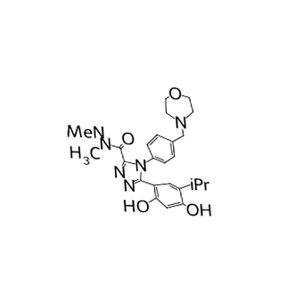 CNN(C)C(=O)c1nnc(-c2cc(C(C)C)c(O)cc2O)n1-c1ccc(CN2CCOCC2)cc1